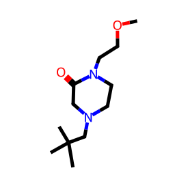 COCCN1CCN(CC(C)(C)C)CC1=O